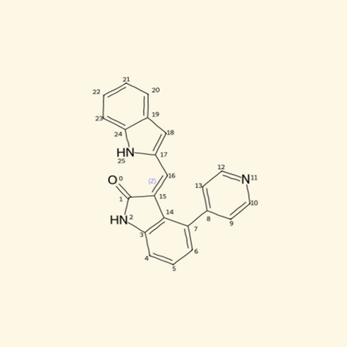 O=C1Nc2cccc(-c3ccncc3)c2/C1=C/c1cc2ccccc2[nH]1